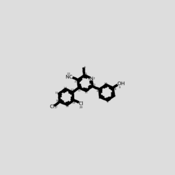 Cc1nc(-c2cccc(O)c2)cc(-c2ccc(Cl)cc2Cl)c1C#N